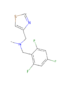 CN(Cc1cs[c]n1)Cc1c(F)cc(F)cc1F